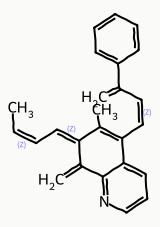 C=C(/C=C\c1c(C)/c(=C/C=C\C)c(=C)c2ncccc12)c1ccccc1